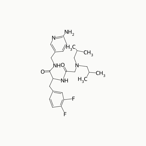 CC(C)CN(CC(=O)NC(Cc1ccc(F)c(F)c1)C(=O)NCc1ccc(N)nc1)CC(C)C